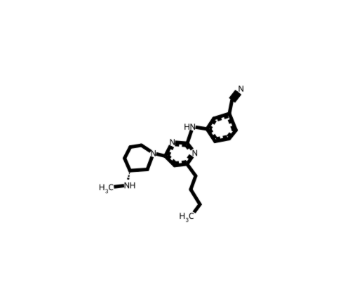 CCCCc1cc(N2CCC[C@@H](NC)C2)nc(Nc2cccc(C#N)c2)n1